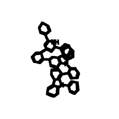 C1=CC(C2=CC(c3ccccc3C3C=Cc4c(c5c(n4-c4ccccc4C4=C6C(CC=C4)c4ccccc4N6c4ccccc4)C=CCC5)C3)=CC(c3ccccc3)N2)=CCC1